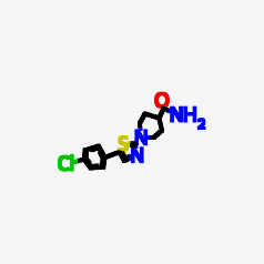 NC(=O)C1CCN(c2ncc(-c3ccc(Cl)cc3)s2)CC1